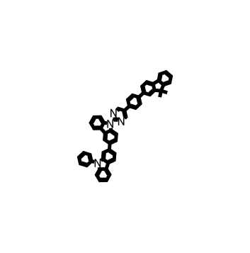 CC1(C)c2ccccc2-c2ccc(-c3ccc(-c4cnc(-n5c6ccccc6c6cc(-c7ccc8c9ccccc9n(-c9ccccc9)c8c7)ccc65)nc4)cc3)cc21